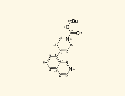 CC(C)(C)OC(=O)N1CC=C(c2cccc3ccncc23)CC1